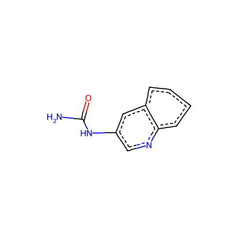 NC(=O)Nc1cnc2ccccc2c1